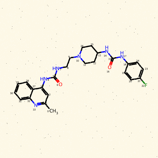 Cc1cc(NC(=O)NCCN2CCC(NC(=O)Nc3ccc(F)cc3)CC2)c2ccccc2n1